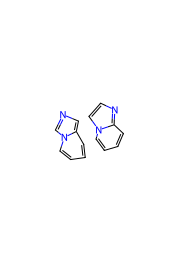 c1ccn2ccnc2c1.c1ccn2cncc2c1